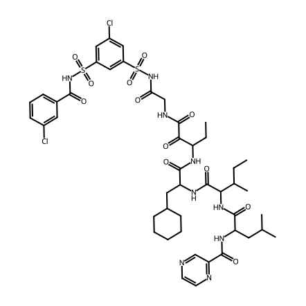 CCC(NC(=O)C(CC1CCCCC1)NC(=O)C(NC(=O)C(CC(C)C)NC(=O)c1cnccn1)C(C)CC)C(=O)C(=O)NCC(=O)NS(=O)(=O)c1cc(Cl)cc(S(=O)(=O)NC(=O)c2cccc(Cl)c2)c1